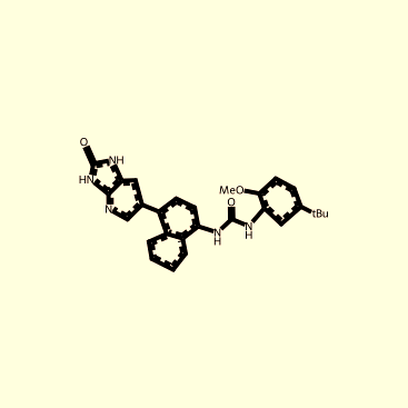 COc1ccc(C(C)(C)C)cc1NC(=O)Nc1ccc(-c2cnc3[nH]c(=O)[nH]c3c2)c2ccccc12